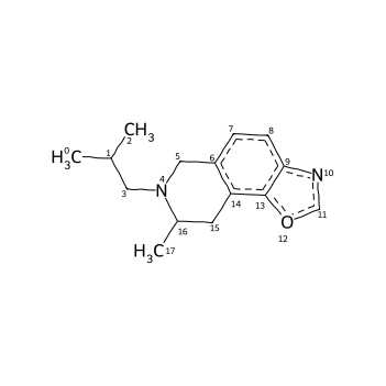 CC(C)CN1Cc2ccc3ncoc3c2CC1C